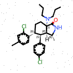 CCCN(CCC)[C@@]12CC[C@@H](c3ccc(C)cc3Cl)[C@H](c3ccc(Cl)cc3)[C@@H]1[C@@H](C)NC2=O